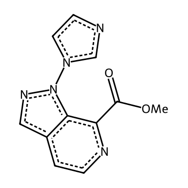 COC(=O)c1nccc2cnn(-n3ccnc3)c12